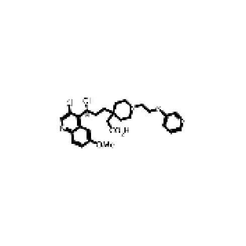 COc1ccc2ncc(Cl)c([C@@H](O)CCC3(CC(=O)O)CCN(CCSc4cccnc4)CC3)c2c1